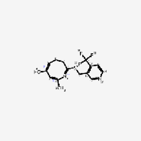 CC1=C/C(O)=C\CC/C(SCc2cnccc2C(F)(F)F)=N\1